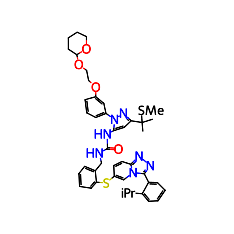 CSC(C)(C)c1cc(NC(=O)NCc2ccccc2Sc2ccc3nnc(-c4ccccc4C(C)C)n3c2)n(-c2cccc(OCCOC3CCCCO3)c2)n1